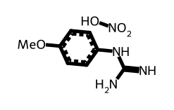 COc1ccc(NC(=N)N)cc1.O=[N+]([O-])O